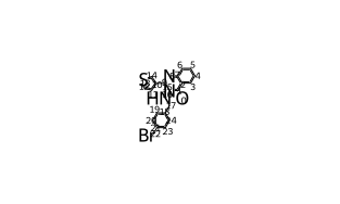 O=c1c2ccccc2nc(-c2ccsc2)n1NCc1ccc(Br)cc1